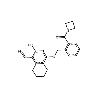 N=Cc1c(O)nc(SCc2ccccc2C(=O)N2CCC2)c2c1CCCC2